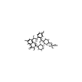 Cc1cc([C@@H](C)Nc2ccc(F)cc2N(C)C2CCC(O[Si](C)(C)C(C)(C)C)CC2)c2nc(C3CCOCC3)n(C)c(=O)c2c1